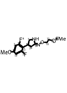 COc1cc(F)c(C2CN/C(=N\OCCOSC)C2)c(F)c1